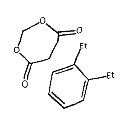 CCc1ccccc1CC.O=C1CC(=O)OCO1